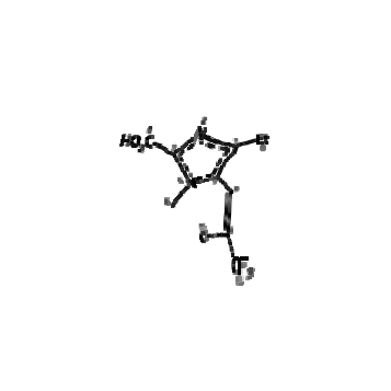 CCc1nc(C(=O)O)n(C)c1C=C(Cl)C(F)(F)F